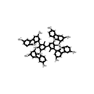 Cc1c(-c2cc3c4c(c2C)-c2cc(C(C)(C)C)cc5c6cc(C(C)(C)C)ccc6n(c25)B4c2cc(C(C)(C)C)cc4c5cc(C(C)(C)C)ccc5n-3c24)cc2c(c1-c1cc(C(C)(C)C)cc3c1[nH]c1ccc(C(C)(C)C)cc13)Bc1cc(C(C)(C)C)cc3c4cc(C(C)(C)C)ccc4n-2c13